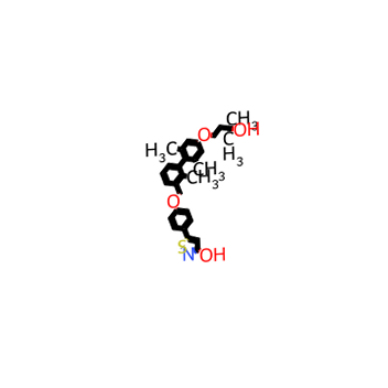 Cc1cc(OCCC(C)(C)O)cc(C)c1-c1cccc(COc2ccc(-c3cc(O)ns3)cc2)c1C